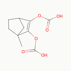 CC12CCC(C1)C(OC(=O)O)=C2OC(=O)O